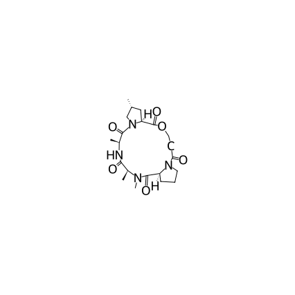 C[C@@H]1C[C@H]2C(=O)OCCC(=O)N3CCC[C@H]3C(=O)N(C)[C@@H](C)C(=O)N[C@@H](C)C(=O)N2C1